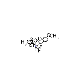 COc1ccc2cc(/C(=N\OS(C)(=O)=O)C(F)(F)F)c(=O)oc2c1